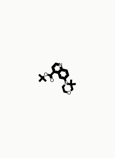 CC(C)(C)OC(=O)c1ccnc2ccc(N3CCOCC3(C)C)cc12